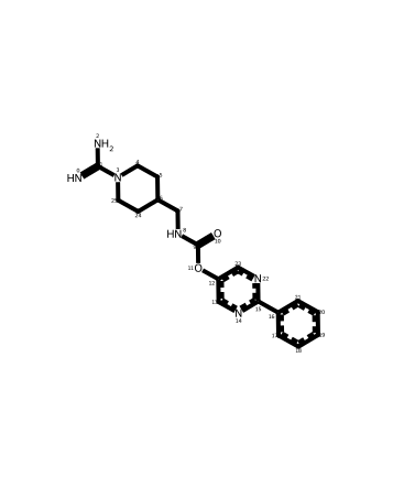 N=C(N)N1CCC(CNC(=O)Oc2cnc(-c3ccccc3)nc2)CC1